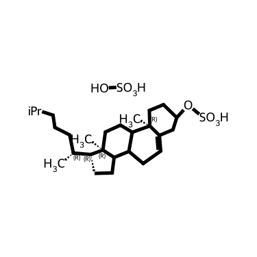 CC(C)CCC[C@@H](C)[C@H]1CCC2C3CC=C4CC(OS(=O)(=O)O)CC[C@]4(C)C3CC[C@@]21C.O=S(=O)(O)O